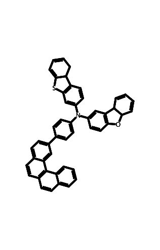 C1=CCC2C(=C1)Sc1cc(N(c3ccc(-c4ccc5ccc6ccc7ccccc7c6c5c4)cc3)c3ccc4c(c3)C3C=CC=CC3O4)ccc12